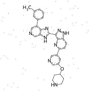 Cc1cccc(-c2cncc3[nH]c(-c4n[nH]c5ccc(-c6cncc(OC7CCNCC7)c6)nc45)nc23)c1